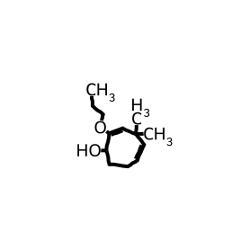 CCCO/C1=C/C(C)(C)/C=C\CCC1O